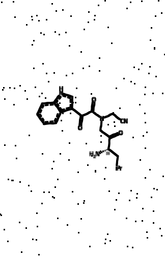 CC(C)C[C@H](N)C(=O)CN(CC#N)C(=O)C(=O)c1c[nH]c2ccccc12